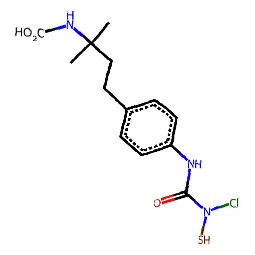 CC(C)(CCc1ccc(NC(=O)N(S)Cl)cc1)NC(=O)O